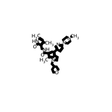 Cc1cc(C)c(CNC(=O)c2cc(-c3ccc(N4CCN(C)CC4)nc3)c3ccn(CC4CCOCC4)c3c2C)c(=O)[nH]1